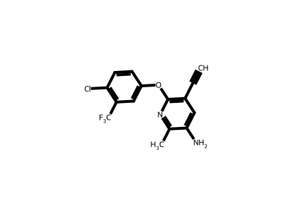 C#Cc1cc(N)c(C)nc1Oc1ccc(Cl)c(C(F)(F)F)c1